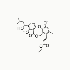 CCOC(=O)C=Cc1c(C)cc(OC)c2c1COC(=O)c1c(ccc(C(O)CC(C)C)c1OC)O2